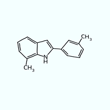 Cc1cccc(-c2cc3cccc(C)c3[nH]2)c1